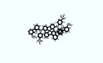 CC(C)(C)c1cccc2c1oc1c(N(c3ccc([Si](C)(C)C)cc3)c3ccc4c(c3)C3(c5cc(N(c6ccc([Si](C)(C)C)cc6)c6cccc7c6oc6c(C(C)(C)C)cccc67)ccc5-4)c4ccccc4-c4c3cc3c5c(cccc45)-c4ccccc4-3)cccc12